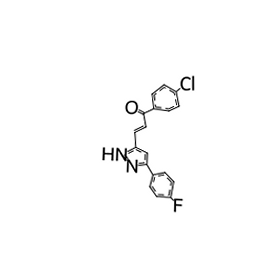 O=C(C=Cc1cc(-c2ccc(F)cc2)n[nH]1)c1ccc(Cl)cc1